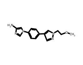 COCCn1cc(-c2ccc(-n3cnc(N)c3)cc2)cn1